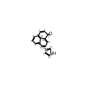 O=C1C=Cc2cccc3cccc1c23.c1c[nH]cn1